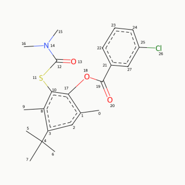 Cc1cc(C(C)(C)C)c(C)c(SC(=O)N(C)C)c1OC(=O)c1cccc(Cl)c1